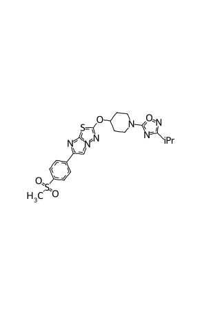 CC(C)c1noc(N2CCC(Oc3nn4cc(-c5ccc(S(C)(=O)=O)cc5)nc4s3)CC2)n1